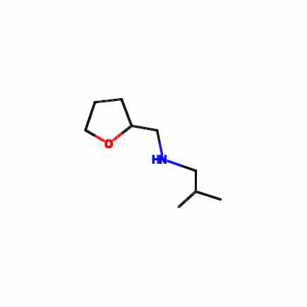 CC(C)CNCC1CCCO1